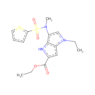 CCOC(=O)c1cc2c([nH]1)c(N(C)S(=O)(=O)c1cccs1)cn2CC